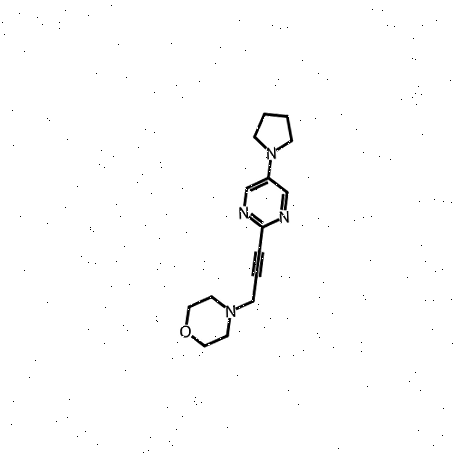 C(#Cc1ncc(N2CCCC2)cn1)CN1CCOCC1